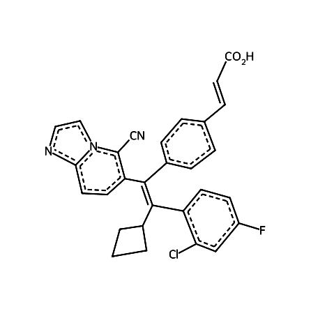 N#Cc1c(/C(=C(/c2ccc(F)cc2Cl)C2CCC2)c2ccc(/C=C/C(=O)O)cc2)ccc2nccn12